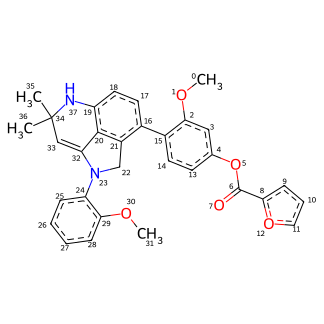 COc1cc(OC(=O)c2ccco2)ccc1-c1ccc2c3c1CN(c1ccccc1OC)C3=CC(C)(C)N2